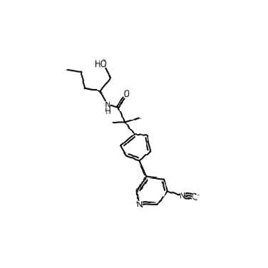 [C-]#[N+]c1cncc(-c2ccc(C(C)(C)C(=O)NC(CO)CCC)cc2)c1